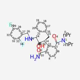 CCCN(CCC)C(=O)c1cccc(C(N)=O)c1[C@H](Cc1ccccc1)[C@@H](O)CNCc1cc(F)ccc1F